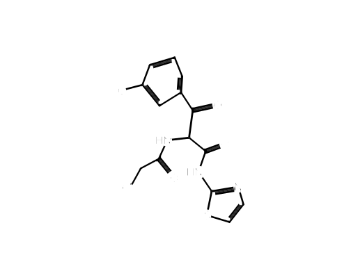 O=C(CCl)NC(C(=O)Nc1nccs1)C(=O)c1cccc(C(F)(F)F)c1